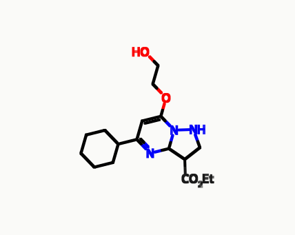 CCOC(=O)C1CNN2C(OCCO)=CC(C3CCCCC3)=NC12